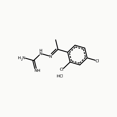 CC(=NNC(=N)N)c1ccc(Cl)cc1Cl.Cl